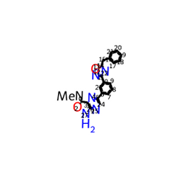 CNC(=O)c1nc(-c2cccc(-c3noc(Cc4ccccc4)n3)c2)cnc1N